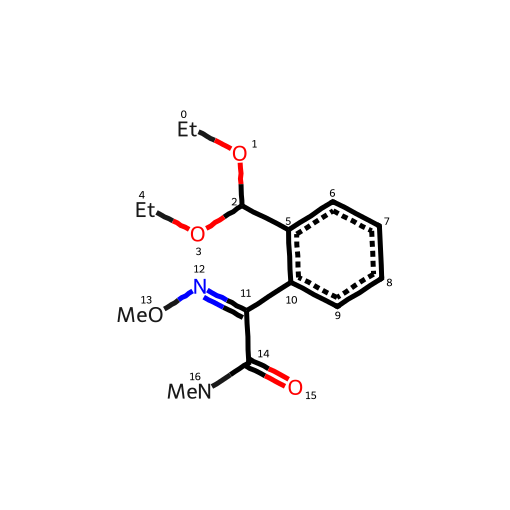 CCOC(OCC)c1ccccc1C(=NOC)C(=O)NC